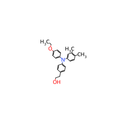 CCOc1ccc(N(c2ccc(CCO)cc2)c2ccc(C)c(C)c2)cc1